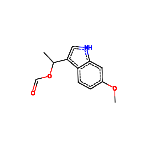 COc1ccc2c(C(C)OC=O)c[nH]c2c1